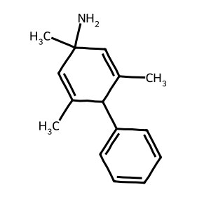 CC1=CC(C)(N)C=C(C)C1c1ccccc1